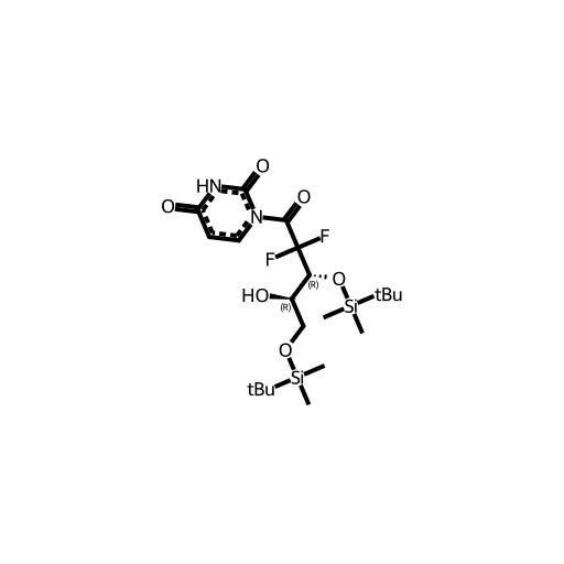 CC(C)(C)[Si](C)(C)OC[C@@H](O)[C@@H](O[Si](C)(C)C(C)(C)C)C(F)(F)C(=O)n1ccc(=O)[nH]c1=O